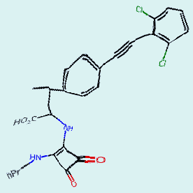 CCCNc1c(NC(C(=O)O)C(C)c2ccc(C#Cc3c(Cl)cccc3Cl)cc2)c(=O)c1=O